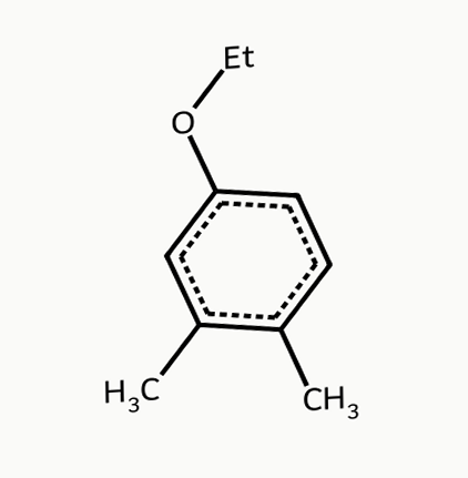 CCOc1ccc(C)c(C)c1